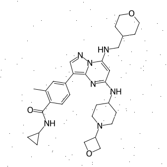 Cc1cc(-c2cnn3c(NCC4CCOCC4)cc(NC4CCN(C5COC5)CC4)nc23)ccc1C(=O)NC1CC1